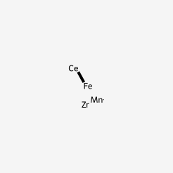 [Fe][Ce].[Mn].[Zr]